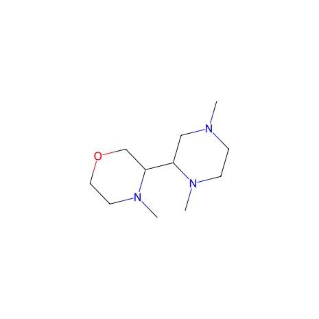 CN1CCN(C)C(C2COCCN2C)C1